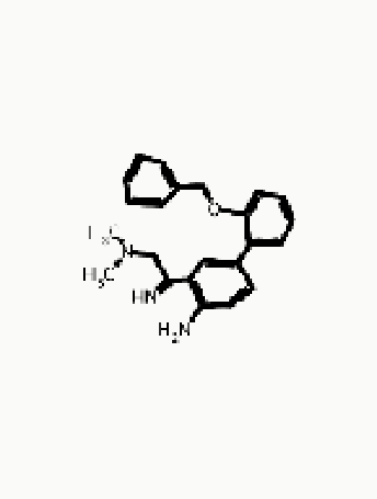 CN(C)CC(=N)c1cc(-c2ccccc2OCc2ccccc2)ccc1N